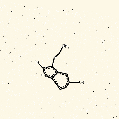 [2H]c1[nH]c2ccc(O)cc2c1CCN